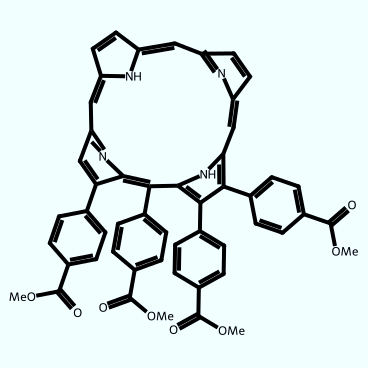 COC(=O)c1ccc(C2=Cc3cc4ccc(cc5nc(cc6[nH]c(c(-c7ccc(C(=O)OC)cc7)c2n3)c(-c2ccc(C(=O)OC)cc2)c6-c2ccc(C(=O)OC)cc2)C=C5)[nH]4)cc1